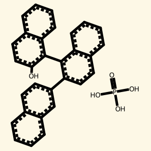 O=P(O)(O)O.Oc1ccc2ccccc2c1-c1c(-c2ccc3ccccc3c2)ccc2ccccc12